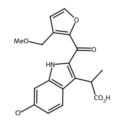 COCc1ccoc1C(=O)c1[nH]c2cc(Cl)ccc2c1C(C)C(=O)O